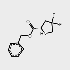 O=C(OCc1ccccc1)[C@@H]1CC(F)(F)CN1